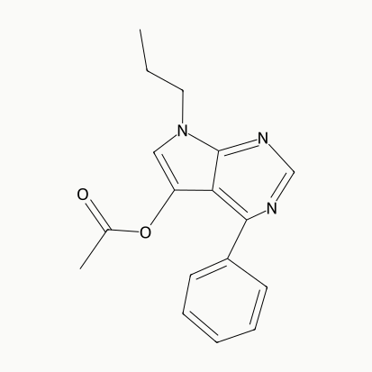 CCCn1cc(OC(C)=O)c2c(-c3ccccc3)ncnc21